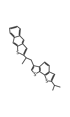 CC(C)c1cc2ccc3c(CC(C)c4cc5cc6ccccc6cc5s4)csc3c2s1